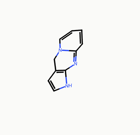 C1=CC2=Nc3[nH]ccc3CN2C=C1